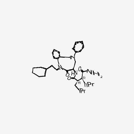 CCC[C@H](C(N)=O)[C@@H](CC(C)C)C(=O)NC1CN(c2ccccc2)c2ccccc2N(CCC2CCCCC2)C1=O